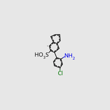 Nc1cc(Cl)ccc1-c1cc2ccccc2[c]c1S(=O)(=O)O